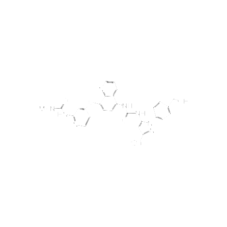 CNC(=O)Nc1cc(Oc2ccc(NC(=O)Nc3cc(C(C)(C)C)nn3-c3ccc(CO)cc3)c3cccnc23)ccn1